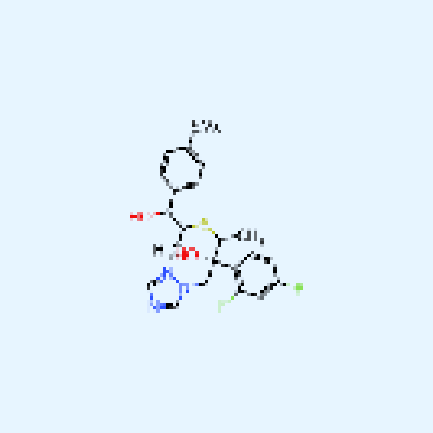 CSc1ccc(C(O)C(C)S[C@H](C)[C@](O)(Cn2cncn2)c2ccc(F)cc2F)cc1